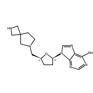 Nc1ncnc2c1ncn2[C@H]1CC[C@@H](CN2CCC3(CNC3)C2)O1